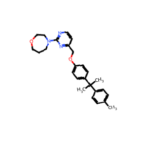 Cc1ccc(C(C)(C)c2ccc(OCc3ccnc(N4CCCOCC4)n3)cc2)cc1